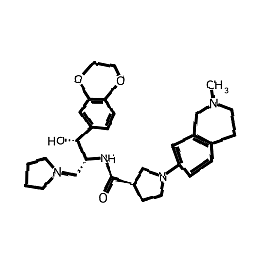 CN1CCc2ccc(N3CC[C@@H](C(=O)N[C@H](CN4CCCC4)[C@H](O)c4ccc5c(c4)OCCO5)C3)cc2C1